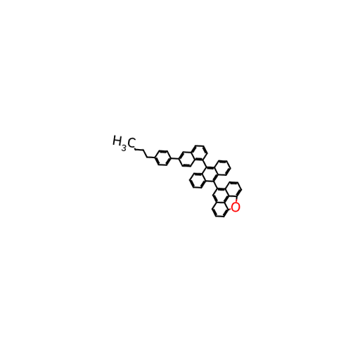 CCCCc1ccc(-c2ccc3c(-c4c5ccccc5c(-c5cc6cccc7oc8cccc5c8c67)c5ccccc45)cccc3c2)cc1